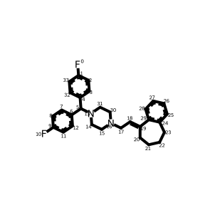 Fc1ccc(C(c2ccc(F)cc2)N2CCN(CC=C3CCCCc4ccccc43)CC2)cc1